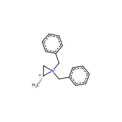 C[C@@H]1C[N+]1(Cc1ccccc1)Cc1ccccc1